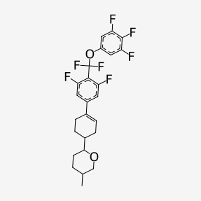 CC1CCC(C2CC=C(c3cc(F)c(C(F)(F)Oc4cc(F)c(F)c(F)c4)c(F)c3)CC2)OC1